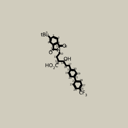 CC(C)(C)c1ccc2c(c1)C(=O)N(CC[C@@H](C(=O)O)[C@H](O)CCc1ccc(-c3ccc(C(F)(F)F)cc3)cc1)C2=O